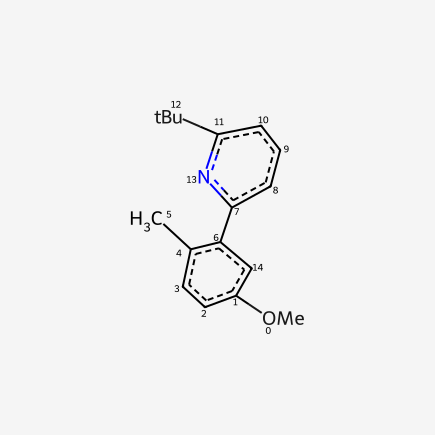 COc1ccc(C)c(-c2cccc(C(C)(C)C)n2)c1